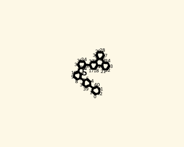 C1=CC(c2ccc(-c3cccc4c3sc3c(-c5ccc6c7ccccc7c7ccccc7c6c5)cccc34)cc2)=CCC1